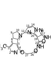 Cc1cnc2c(c1)C1CCCN1c1ccn3nc(N)c(c3n1)C(=O)NOCCO2